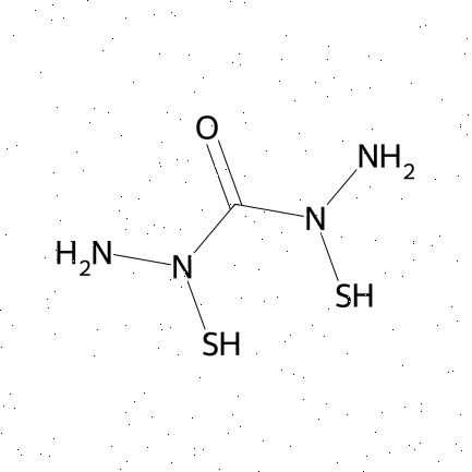 NN(S)C(=O)N(N)S